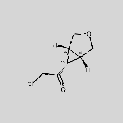 O=C(CCl)[C@@H]1[C@@H]2COC[C@@H]21